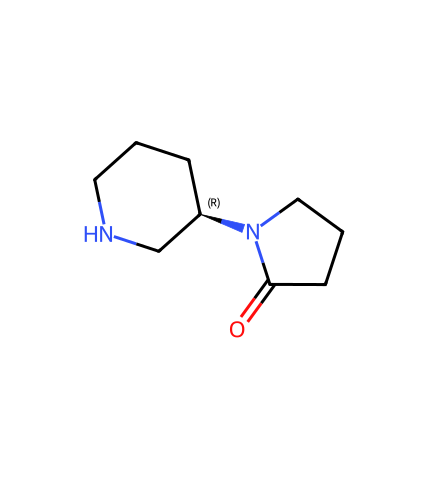 O=C1CCCN1[C@@H]1CCCNC1